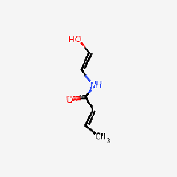 CC=CC(=O)NC=CO